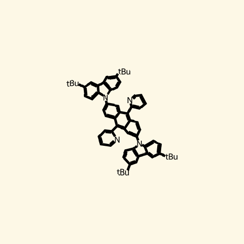 CC(C)(C)c1ccc2c(c1)c1cc(C(C)(C)C)ccc1n2-c1ccc2c(-c3ccccn3)c3cc(-n4c5ccc(C(C)(C)C)cc5c5cc(C(C)(C)C)ccc54)ccc3c(-c3ccccn3)c2c1